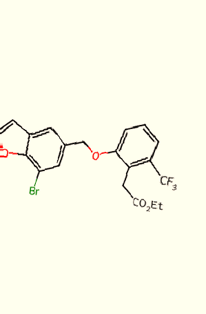 CCOC(=O)Cc1c(OCc2cc(Br)c3occc3c2)cccc1C(F)(F)F